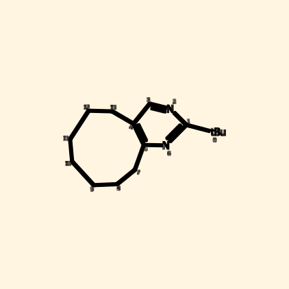 CC(C)(C)c1ncc2c(n1)CCCCCCC2